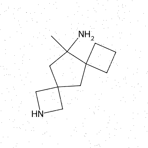 CC1(N)CC2(CNC2)CC12CCC2